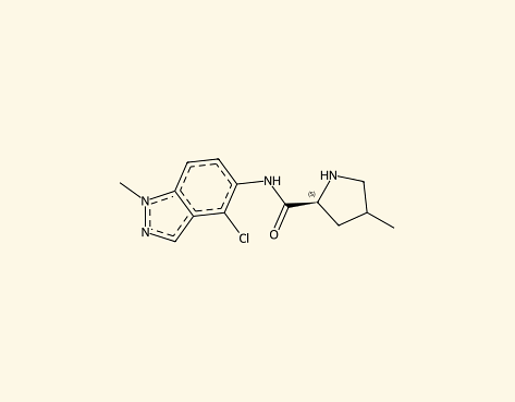 CC1CN[C@H](C(=O)Nc2ccc3c(cnn3C)c2Cl)C1